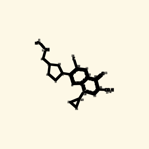 CCCNCC1CCC(c2cc3c(cc2F)c(=O)c(C(=O)O)cn3C2CC2)C1